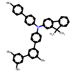 CC(C)(C)c1ccc(-c2ccc(N(c3ccc(-c4cc(-c5cc(C(C)(C)C)cc(C(C)(C)C)c5)cc(C(C)(C)C)c4)cc3)c3ccc4c(c3)C(C)(C)c3ccccc3-4)cc2)cc1